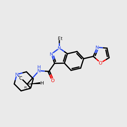 CCn1nc(C(=O)N[C@H]2CN3CCC2CC3)c2ccc(-c3ncco3)cc21